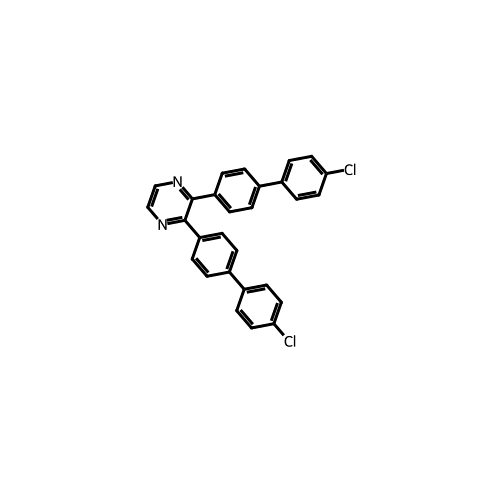 Clc1ccc(-c2ccc(-c3nccnc3-c3ccc(-c4ccc(Cl)cc4)cc3)cc2)cc1